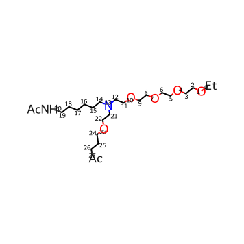 CCOCCOCCOCCOCCN(CCCCCCNC(C)=O)CCOCCCC(C)=O